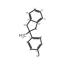 CC1(c2ccc(F)cc2)[CH]c2ccccc2C1